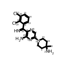 CC1(N)CCN(c2cnc(C(=N)c3cccc(Cl)c3Cl)c(N)n2)CC1